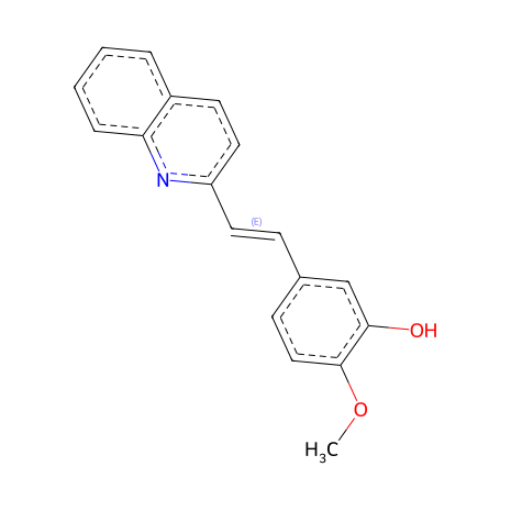 COc1ccc(/C=C/c2ccc3ccccc3n2)cc1O